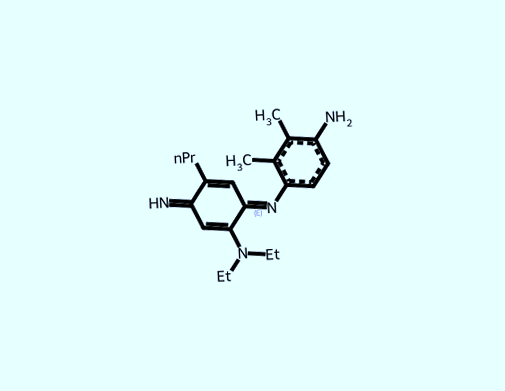 CCCC1=C/C(=N\c2ccc(N)c(C)c2C)C(N(CC)CC)=CC1=N